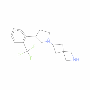 FC(F)(F)c1ccccc1C1CCN(C2CC3(CNC3)C2)C1